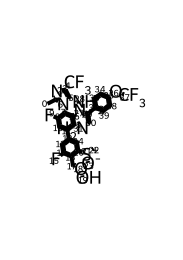 Cc1nc(C(F)(F)F)cn1-c1c(F)cc(-c2cc(F)c(COO)c([S+](C)[O-])c2)cc1N(N)/C(=C\N)c1ccc(OC(F)(F)F)cc1